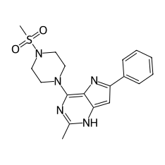 Cc1nc(N2CCN(S(C)(=O)=O)CC2)c2nc(-c3ccccc3)cc-2[nH]1